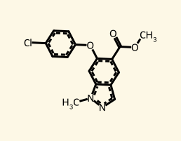 COC(=O)c1cc2cnn(C)c2cc1Oc1ccc(Cl)cc1